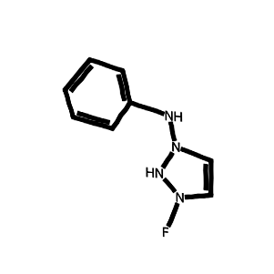 FN1C=CN(Nc2ccccc2)N1